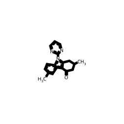 Cc1ccc2c(c1)c1c(n2-c2ncccn2)CC(C)CC1=O